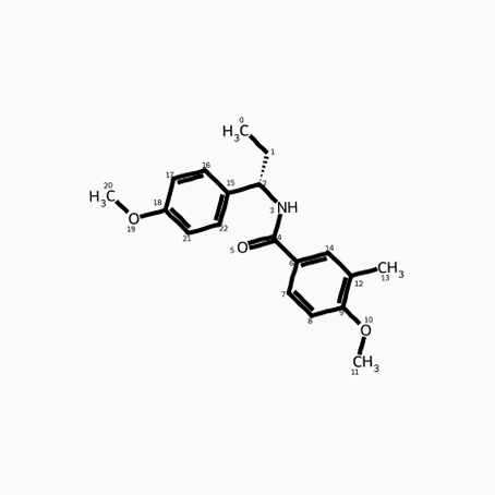 CC[C@H](NC(=O)c1ccc(OC)c(C)c1)c1ccc(OC)cc1